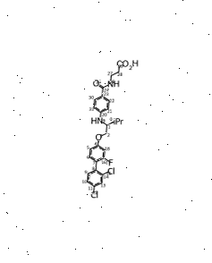 CC(C)[C@@H](COc1ccc(-c2ccc(Cl)cc2Cl)c(F)c1)Nc1ccc(C(=O)NCCC(=O)O)cc1